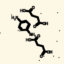 Nc1ccc(N)cc1.O=C(O)CCC(=O)O.O=C(O)CCC(=O)O